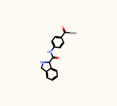 CNC(=O)c1ccc(NC(=O)C2NCc3ccccc32)cc1